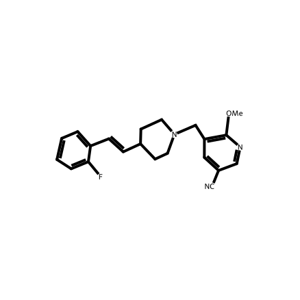 COc1ncc(C#N)cc1CN1CCC(C=Cc2ccccc2F)CC1